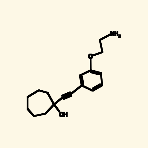 NCCOc1cccc(C#CC2(O)CCCCCC2)c1